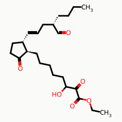 CCCC[C@H](C=O)CC=C[C@H]1CCC(=O)[C@@H]1CCCCCC(O)C(=O)C(=O)OCC